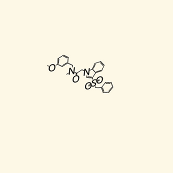 COc1cccc(CN(C)C(=O)Cn2cc(S(=O)(=O)Cc3ccccc3)c3ccccc32)c1